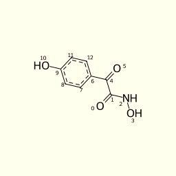 O=C(NO)C(=O)c1ccc(O)cc1